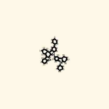 c1ccc(-c2ccc3c(c2)c2c4ccccc4c4c5ccccc5sc4c2n3-c2ccc3c(c2)c2ccccc2n3-c2ccccc2)cc1